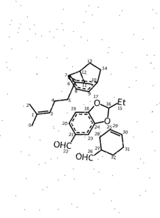 CC(C)=CCCc1c2ccc3c1C2CC3.CCC1Oc2ccc(C=O)cc2O1.O=CC1CC=CCC1